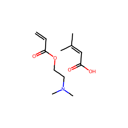 C=CC(=O)OCCN(C)C.CC(C)=CC(=O)O